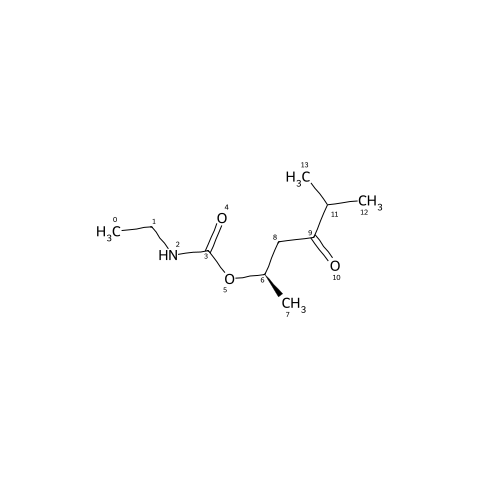 CCNC(=O)O[C@H](C)CC(=O)C(C)C